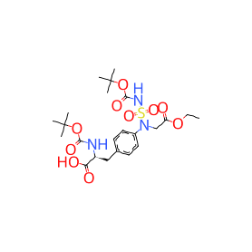 CCOC(=O)CN(c1ccc(C[C@H](NC(=O)OC(C)(C)C)C(=O)O)cc1)S(=O)(=O)NC(=O)OC(C)(C)C